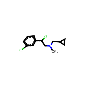 CN(CC1CC1)CC(Cl)c1cccc(Cl)c1